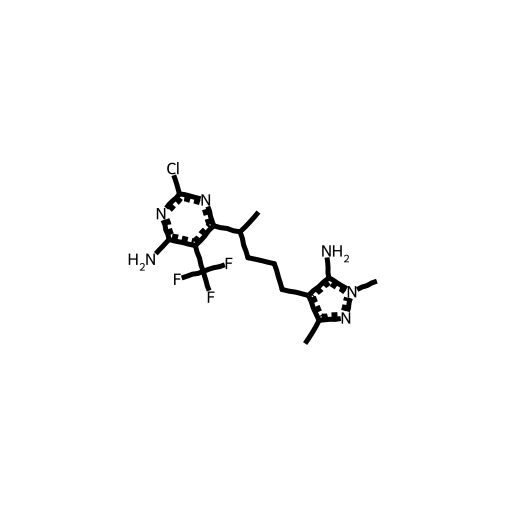 Cc1nn(C)c(N)c1CCCC(C)c1nc(Cl)nc(N)c1C(F)(F)F